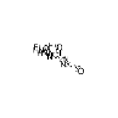 CCNC(=O)Nc1nc2cc(-c3cnc(C(C)(C)CCN4CCOCC4)nc3)c(F)c(C3CCCO3)c2[nH]1